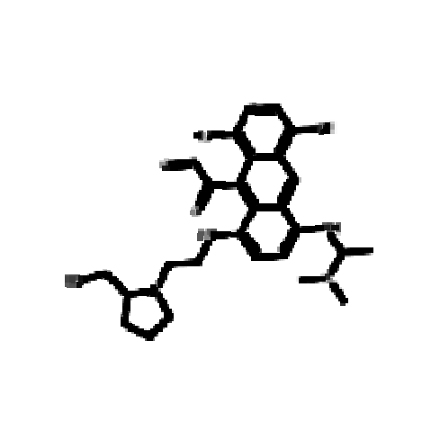 CC(Nc1ccc(NCCN2CCCC2CO)c2c(C(=O)C=O)c3c(O)ccc(O)c3cc12)N(C)C